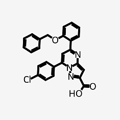 O=C(O)c1cc2nc(-c3ccccc3OCc3ccccc3)cc(-c3ccc(Cl)cc3)n2n1